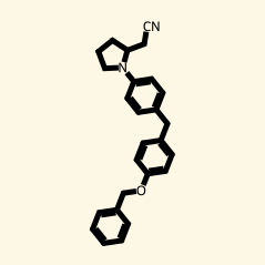 N#CCC1CCCN1c1ccc(Cc2ccc(OCc3ccccc3)cc2)cc1